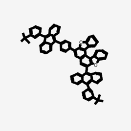 CC(C)(C)c1cccc(-c2c3ccccc3c(-c3ccc(-c4cc5cc(-c6c7ccccc7c(-c7cccc(C(C)(C)C)c7)c7ccccc67)c6oc7ccccc7c6c5c5c4oc4ccccc45)cc3)c3ccccc23)c1